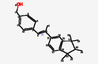 C/C(=C\c1ccc(CO)cc1)c1ccc2c(c1)C(C)(C)C(C)C2(C)C